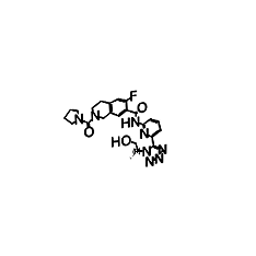 C[C@H](CO)n1nnnc1-c1cccc(NC(=O)c2cc3c(cc2F)CCN(C(=O)N2CCCC2)C3)n1